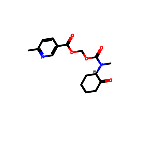 Cc1ccc(C(=O)OCOC(=O)N(C)[C@@H]2CCCCC2=O)cn1